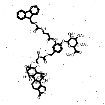 CCN(CO[C@H]1C2[C@H]3O[C@H]3[C@H]3C4=C(CC[C@]3(C)[C@@]23O[C@H]3[C@@H]2O[C@]12C(C)C)C(=O)OC4)C(=O)OCc1ccc(O[C@@H]2OC(C(=O)OC)[C@@H](OC(C)=O)C(OC(C)=O)[C@@H]2OC(C)=O)c(NC(=O)CCNC(=O)OCC2c3ccccc3-c3ccccc32)c1